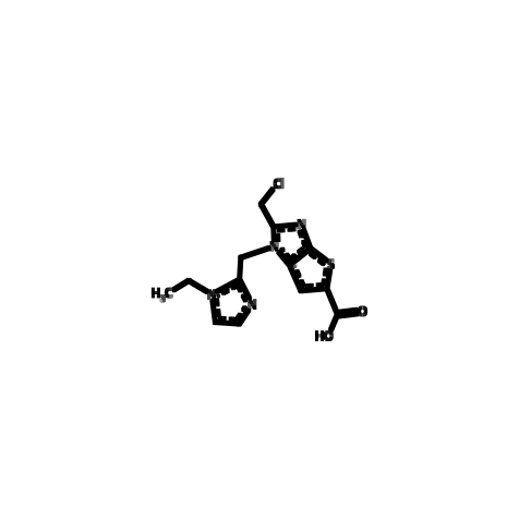 CCn1ccnc1Cn1c(CCl)nc2sc(C(=O)O)cc21